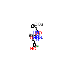 CC(C)COc1ccccc1CCCNC(=O)[C@H](CN(C)C)NC(=O)[C@H](NC(=O)[C@H](C)Cc1ccc(O)c(F)c1)C(C)C